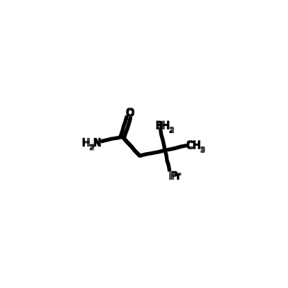 BC(C)(CC(N)=O)C(C)C